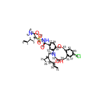 C=CCC[C@H](C(=O)N(C)C)S(=O)(=O)NC(=O)c1ccc2c(c1)N(C[C@@H]1CC[C@H]1[C@@H](O)C=C)CCCCc1cc(Cl)ccc1CO2